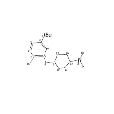 Cc1ccc(C(C)(C)C)cc1CC1CCC(N(C)C)CC1